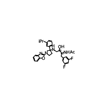 CC(=O)N[C@@H](Cc1cc(F)cc(F)c1)[C@H](O)CNC1(c2cccc(C(C)C)c2)CCN(c2nc3ccccc3o2)C1